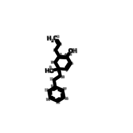 C=CCC1=C(O)C=CC(O)(CCc2ccccc2)C1